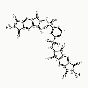 O=c1c2cc3c(=O)n(OS(=O)(=O)c4cccc(S(=O)(=O)On5c(=O)c6cc7c(=O)n(O)c(=O)c7cc6c5=O)c4)c(=O)c3cc2c(=O)n1O